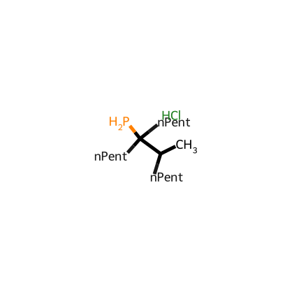 CCCCCC(C)C(P)(CCCCC)CCCCC.Cl